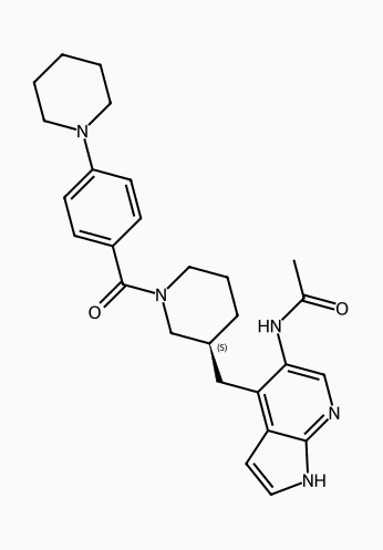 CC(=O)Nc1cnc2[nH]ccc2c1C[C@@H]1CCCN(C(=O)c2ccc(N3CCCCC3)cc2)C1